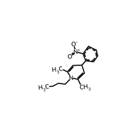 CCCCN1C(C)=CC(c2ccccc2[N+](=O)[O-])C=C1C